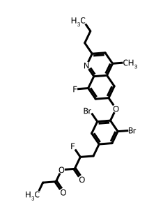 CCCc1cc(C)c2cc(Oc3c(Br)cc(CC(F)C(=O)OC(=O)CC)cc3Br)cc(F)c2n1